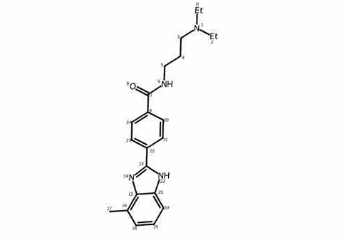 CCN(CC)CCCNC(=O)c1ccc(-c2nc3c(C)cccc3[nH]2)cc1